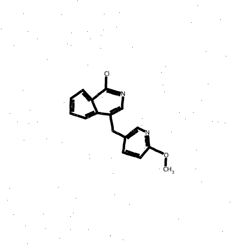 COc1ccc(Cc2cnc(Cl)c3ccccc23)cn1